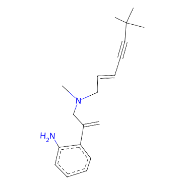 C=C(CN(C)CC=CC#CC(C)(C)C)c1ccccc1N